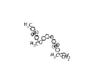 CCC(C)(CC)c1ccc(S(=O)(=O)c2ccc(Oc3ccc4ccc(OC(C)c5ccc(S(=O)(=O)c6ccc(C)cc6)cc5)cc4c3)cc2)cc1